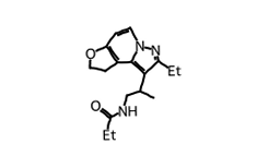 CCC(=O)NCC(C)c1c(CC)nn2ccc3c(c12)CCO3